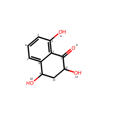 O=C1c2c(O)cccc2C(O)CC1O